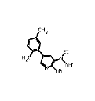 CCCc1ncc(-c2cc(C)ccc2C)cc1N(CC)CCC